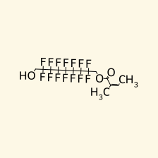 CC=C(C)C(=O)OCC(F)(F)C(F)(F)C(F)(F)C(F)(F)C(F)(F)C(F)(F)C(F)(F)CO